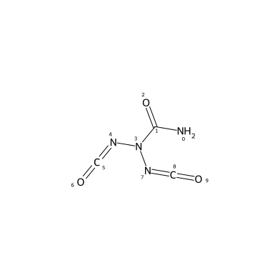 NC(=O)N(N=C=O)N=C=O